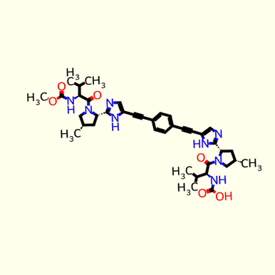 COC(=O)N[C@H](C(=O)N1C[C@@H](C)C[C@H]1c1ncc(C#Cc2ccc(C#Cc3cnc([C@@H]4C[C@H](C)CN4C(=O)[C@@H](NC(=O)O)C(C)C)[nH]3)cc2)[nH]1)C(C)C